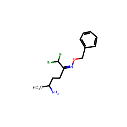 NC(CCC(=NOCc1ccccc1)C(Br)Br)C(=O)O